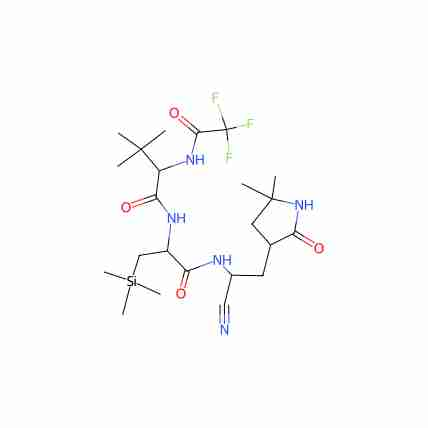 CC1(C)CC(CC(C#N)NC(=O)C(C[Si](C)(C)C)NC(=O)C(NC(=O)C(F)(F)F)C(C)(C)C)C(=O)N1